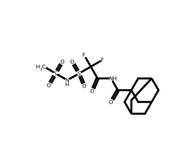 CS(=O)(=O)NS(=O)(=O)C(F)(F)C(=O)NC(=O)C12CC3CC(CC(C3)C1)C2